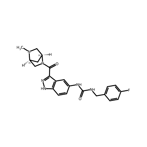 CN1C[C@@H]2C[C@H]1CN2C(=O)c1n[nH]c2ccc(NC(=O)NCc3ccc(F)cc3)cc12